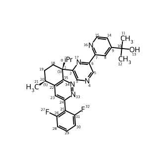 CC(C)[C@]1(c2cncc(-c3cc(C(C)(C)O)ccn3)n2)CC[C@H](C)c2cc(-c3c(F)cccc3F)nnc21